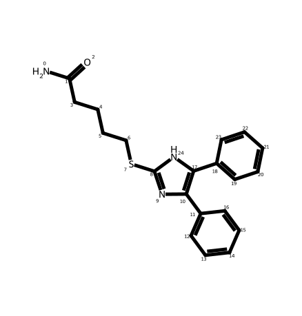 NC(=O)CCCCSc1nc(-c2ccccc2)c(-c2ccccc2)[nH]1